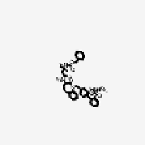 CC(C)(C)NS(=O)(=O)c1ccccc1-c1ccc(CN2C(=O)[C@H](NC(=O)CC(C)(C)NC(=O)OCc3ccccc3)CCc3ccccc32)cc1